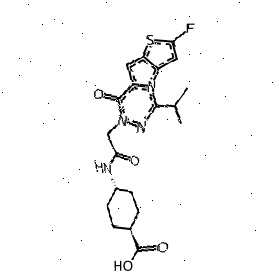 CC(C)c1nn(CC(=O)N[C@H]2CC[C@H](C(=O)O)CC2)c(=O)c2cc3sc(F)cc3n12